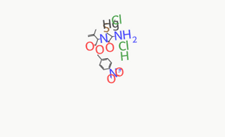 C=C(C)C(C(=O)OCc1ccc([N+](=O)[O-])cc1)N1C(=O)C(N)C1[S][Hg][Cl].Cl